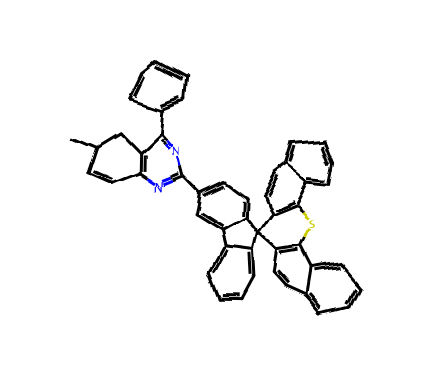 CC1C=Cc2nc(-c3ccc4c(c3)-c3ccccc3C43c4ccc5ccccc5c4Sc4c3ccc3ccccc43)nc(-c3ccccc3)c2C1